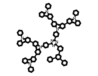 c1ccc(-c2cc(-c3ccccc3)cc(-c3cccc(-c4nc(-c5ccc(-n6c7ccc(-c8ccc9c(c8)c8ccccc8n9-c8ccccc8)cc7c7cc(-c8ccc9c(c8)c8ccccc8n9-c8ccccc8)ccc76)cc5)nc(-c5ccc(-n6c7ccc(-c8ccc9c(c8)c8ccccc8n9-c8ccccc8)cc7c7cc(-c8ccc9c(c8)c8ccccc8n9-c8ccccc8)ccc76)cc5)n4)c3)c2)cc1